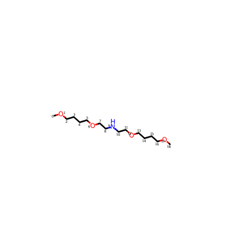 COCCCCOCCNCCOCCCCOC